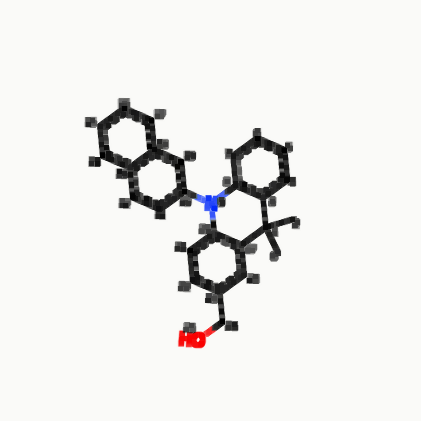 CC1(C)c2ccccc2N(c2ccc3ccccc3c2)c2ccc(CO)cc21